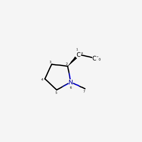 [CH2-][CH+][C@@H]1CCCN1C